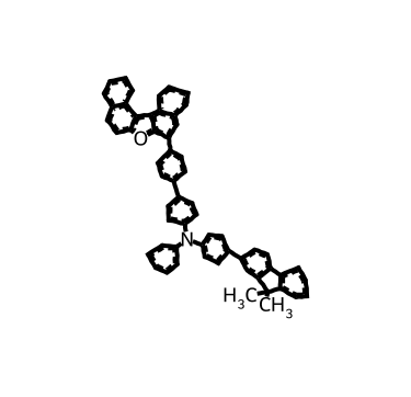 CC1(C)c2ccccc2-c2ccc(-c3ccc(N(c4ccccc4)c4ccc(-c5ccc(-c6cc7ccccc7c7c6oc6ccc8ccccc8c67)cc5)cc4)cc3)cc21